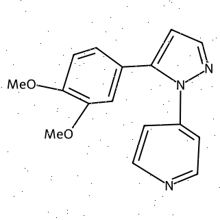 COc1ccc(-c2ccnn2-c2ccncc2)cc1OC